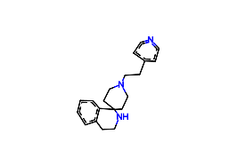 c1ccc2c(c1)CCNC21CCN(CCc2ccncc2)CC1